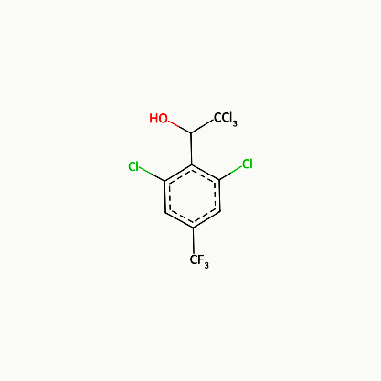 OC(c1c(Cl)cc(C(F)(F)F)cc1Cl)C(Cl)(Cl)Cl